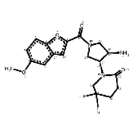 COc1ccc2oc(C(=O)N3C[C@@H](N)[C@@H](N4CC(F)(F)CCC4=O)C3)cc2c1